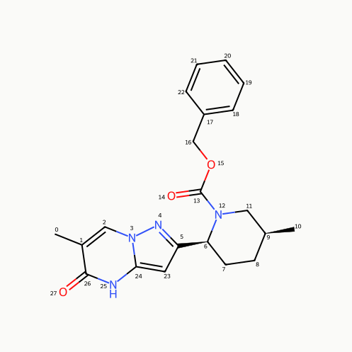 Cc1cn2nc([C@@H]3CC[C@H](C)CN3C(=O)OCc3ccccc3)cc2[nH]c1=O